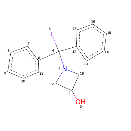 OC1CN(C(I)(c2ccccc2)c2ccccc2)C1